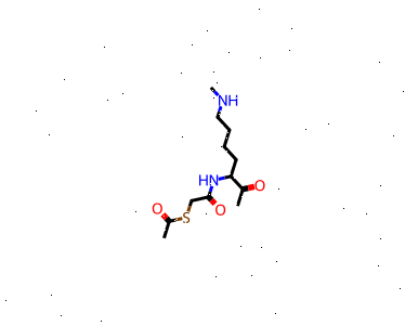 CNCCCCC(NC(=O)CSC(C)=O)C(C)=O